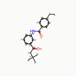 CCc1ccc(C(=O)Nc2cccc(C(=O)CC(C)(C)C)c2)cc1